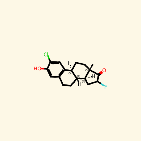 C[C@]12CC[C@@H]3c4cc(Cl)c(O)cc4CC[C@H]3[C@@H]1CC(F)C2=O